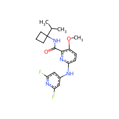 COc1ccc(Nc2cc(F)nc(F)c2)nc1C(=O)NC1(C(C)C)CCC1